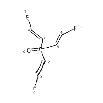 O=P(/C=C/F)(/C=C/F)/C=C/F